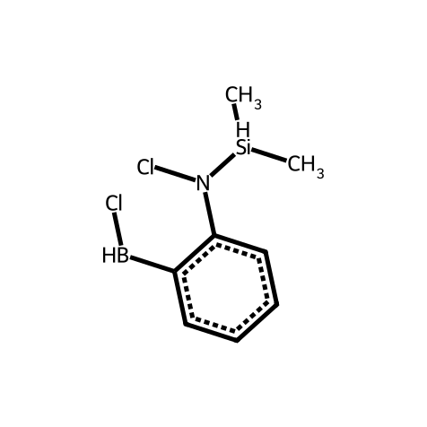 C[SiH](C)N(Cl)c1ccccc1BCl